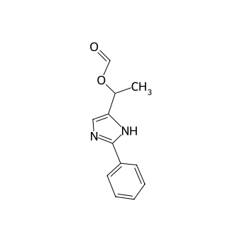 CC(OC=O)c1cnc(-c2ccccc2)[nH]1